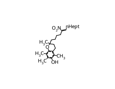 CCCCCCC/C=C(/CCCCC1(C)CCc2c(C)c(O)c(C)c(C)c2O1)[N+](=O)[O-]